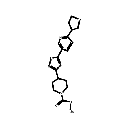 CC(C)(C)OC(=O)N1CCC(c2noc(-c3ccc(C4CCOC4)nc3)n2)CC1